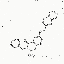 C[C@H]1Cc2ncc(OCc3ccc4ccccc4n3)cc2C(=O)[C@@H]1Cc1cccnc1